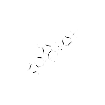 CC(C)(C)c1ccc(S(=O)(=O)Nc2ccc(Cl)c3c2C(O)N(Cc2ncccn2)C3=O)cc1